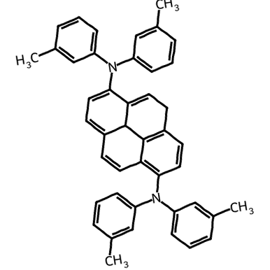 Cc1cccc(N(C2=CC=C3C=Cc4c(N(c5cccc(C)c5)c5cccc(C)c5)ccc5c4C3C2=CC5)c2cccc(C)c2)c1